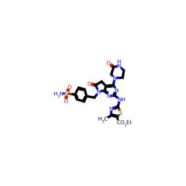 CCOC(=O)c1sc(Nc2nc(N3CCNC(=O)C3)c3c(n2)N(Cc2ccc(S(N)(=O)=O)cc2)C(=O)C3)nc1C